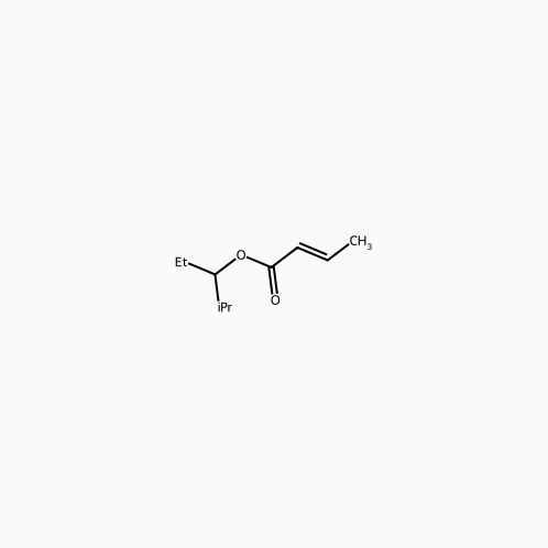 C/C=C/C(=O)OC(CC)C(C)C